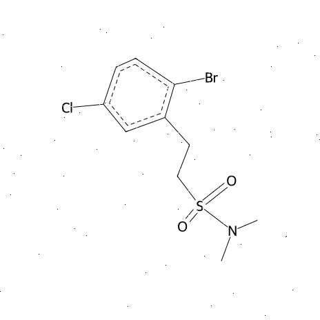 CN(C)S(=O)(=O)CCc1cc(Cl)ccc1Br